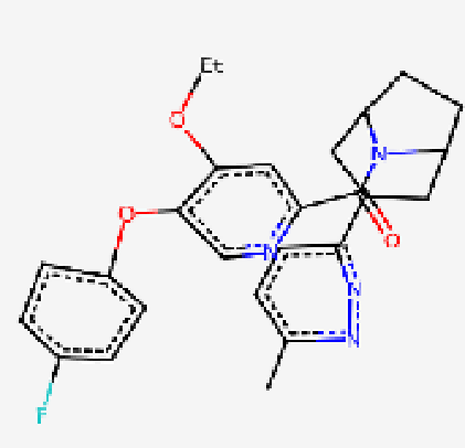 CCOc1cc(C(=O)N2C3CCC2CC(c2ccc(C)nn2)C3)ncc1Oc1ccc(F)cc1